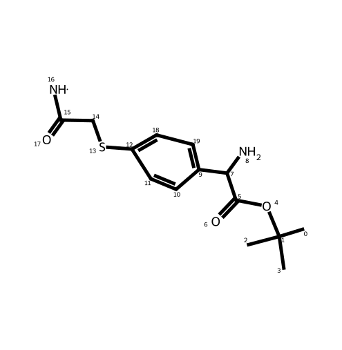 CC(C)(C)OC(=O)C(N)c1ccc(SCC([NH])=O)cc1